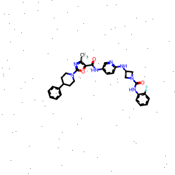 O=C(Nc1ccc(NC2CN(C(=O)Nc3ccccc3F)C2)nc1)c1oc(N2CCC(c3ccccc3)CC2)nc1C(F)(F)F